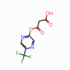 O=C(O)CC(=O)Oc1cnc(C(F)(F)F)cn1